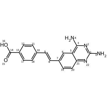 Nc1nc(N)c2cc(C=Cc3ccc(C(=O)O)cc3)ccc2n1